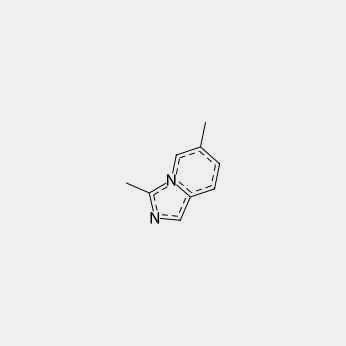 Cc1ccc2cnc(C)n2c1